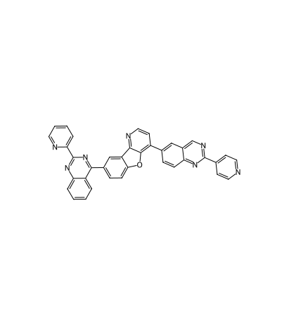 c1ccc(-c2nc(-c3ccc4oc5c(-c6ccc7nc(-c8ccncc8)ncc7c6)ccnc5c4c3)c3ccccc3n2)nc1